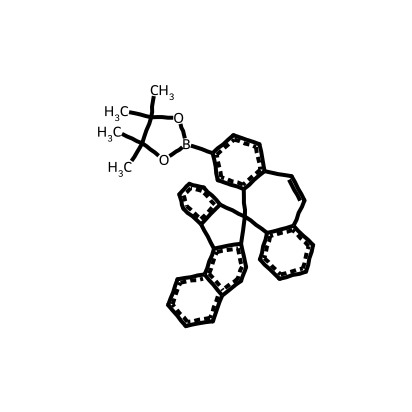 CC1(C)OB(c2ccc3c(c2)C2(c4ccccc4C=C3)c3ccccc3-c3c2ccc2ccccc32)OC1(C)C